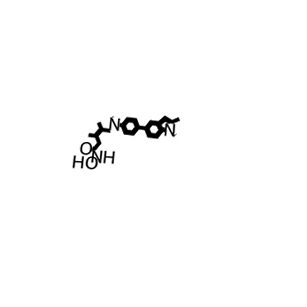 C/C(CC(=O)NO)=C(\C)CN(C)c1ccc(-c2ccc3c(c2)cc(C)n3C)cc1